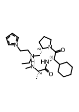 CCN(CCn1cccc1)C[C@@H]1CCCN1C(=O)[C@@H](NC(=O)[C@H](C)NC)C1CCCCC1